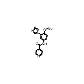 CCC(C)Oc1ccc(NC(=O)c2ccncc2)cc1-n1cnnn1